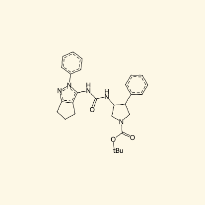 CC(C)(C)OC(=O)N1CC(NC(=O)Nc2c3c(nn2-c2ccccc2)CCC3)C(c2ccccc2)C1